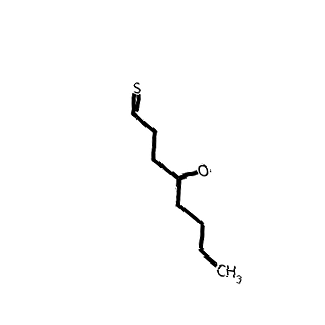 CCCCC([O])CCC=S